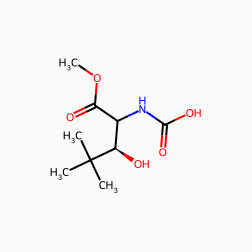 COC(=O)C(NC(=O)O)[C@@H](O)C(C)(C)C